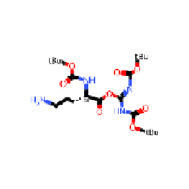 CC(C)(C)OC(=O)N=C(NC(=O)OC(C)(C)C)OC(=O)[C@H](CCCN)NC(=O)OC(C)(C)C